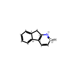 [CH]1=CC2=C(Cc3ccccc32)[N]=[GeH]1